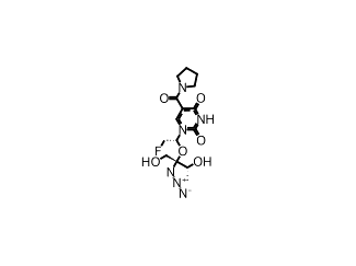 C[C@@H](O)[C@](CO)(N=[N+]=[N-])O[C@H](CF)n1cc(C(=O)N2CCCC2)c(=O)[nH]c1=O